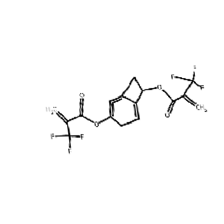 C=C(C(=O)OC1=C=C2CC(OC(=O)C(=C)C(F)(F)F)C2=CC1)C(F)(F)F